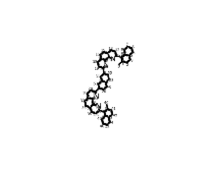 Cc1ccc2ccccc2c1-c1ccc2ccc3ccc(-c4ccc5ccc(-c6ccc7ccc8ccc(-c9c(C)ccc%10ccccc9%10)nc8c7n6)cc5c4)nc3c2n1